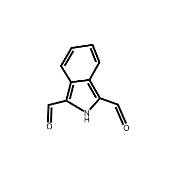 O=Cc1[nH]c(C=O)c2ccccc12